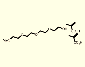 C=C(C)C(=O)O.C=C(C)C(=O)O.COCCOCCOCCOCCO